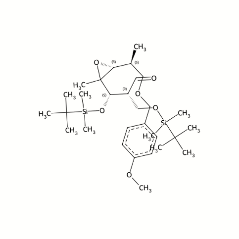 COc1ccc(COC[C@H](C)[C@H]2OC2(C)[C@@H](O[Si](C)(C)C(C)(C)C)[C@H](C=O)CO[Si](C)(C)C(C)(C)C)cc1